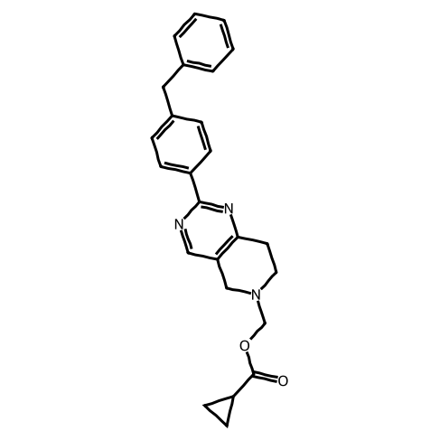 O=C(OCN1CCc2nc(-c3ccc(Cc4ccccc4)cc3)ncc2C1)C1CC1